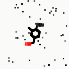 CSc1ccc(CO)cc1C